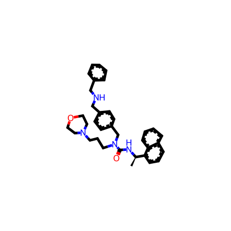 C[C@@H](NC(=O)N(CCCN1CCOCC1)Cc1ccc(CNCc2ccccc2)cc1)c1cccc2ccccc12